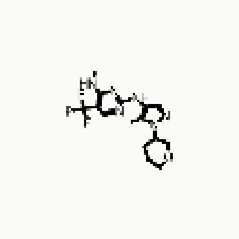 CNc1nc(Nc2cnn(C3CCCOC3)c2C)ncc1C(F)(F)F